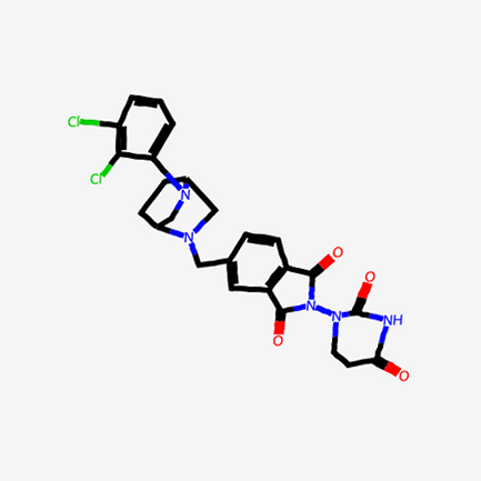 O=C1CCN(N2C(=O)c3ccc(CN4CC5CCC4CN5c4cccc(Cl)c4Cl)cc3C2=O)C(=O)N1